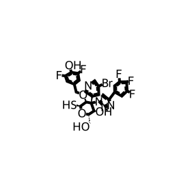 OC[C@@H]1O[C@@H](S)[C@@H](OCc2cc(F)c(O)c(F)c2)[C@](c2cncc(Br)c2)(n2cc(-c3cc(F)c(F)c(F)c3)nn2)[C@@H]1O